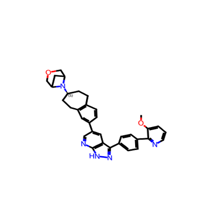 COc1cccnc1-c1ccc(-c2n[nH]c3ncc(-c4ccc5c(c4)CC[C@@H](N4C6COCC4C6)CC5)cc23)cc1